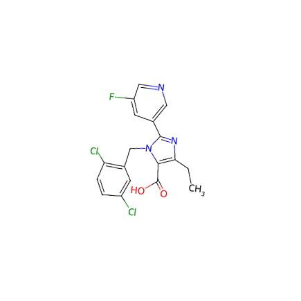 CCc1nc(-c2cncc(F)c2)n(Cc2cc(Cl)ccc2Cl)c1C(=O)O